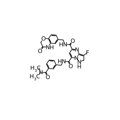 CN(C)C(=O)c1cccc(CNC(=O)C2=CC(C(=O)NCc3ccc4c(c3)NC(=O)CO4)=NC3=C(F)CNN23)c1